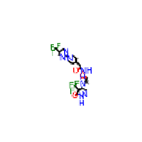 C[C@@H](CONC(=O)CC1=CCN(c2ncc(C(F)(F)F)cn2)CC1)Nc1cn[nH]c(=O)c1C(F)(F)F